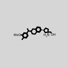 COc1cc(C(C)C2CCc3cc([C@H]4CC[C@](N)(CO)C4)ccc3C2)ccc1C